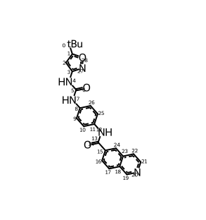 CC(C)(C)c1cc(NC(=O)Nc2ccc(NC(=O)c3ccc4cnccc4c3)cc2)no1